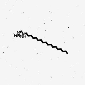 CCCCCCCCCCCCCCCCCCN1C=NNN1